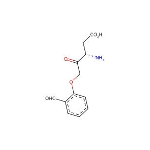 N[C@@H](CC(=O)O)C(=O)COc1ccccc1C=O